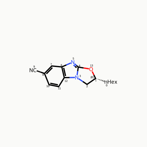 CCCCCC[C@@H]1Cn2c(nc3cc(C#N)ccc32)O1